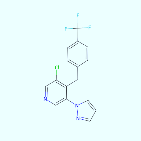 FC(F)(F)c1ccc(Cc2c(Cl)cncc2-n2cccn2)cc1